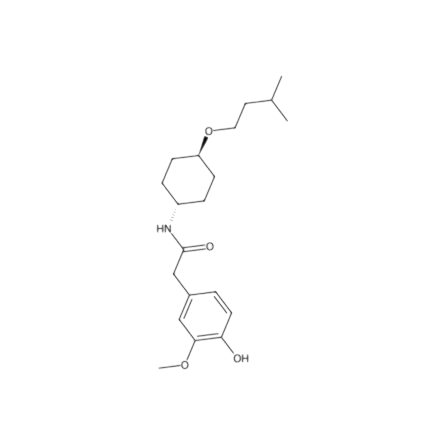 COc1cc(CC(=O)N[C@H]2CC[C@H](OCCC(C)C)CC2)ccc1O